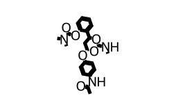 CNC(=O)OC(CCOc1ccc(NC(C)=O)cc1)c1ccccc1OC(=O)N(C)C